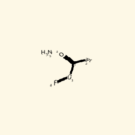 CC(C)C(=O)OF.N